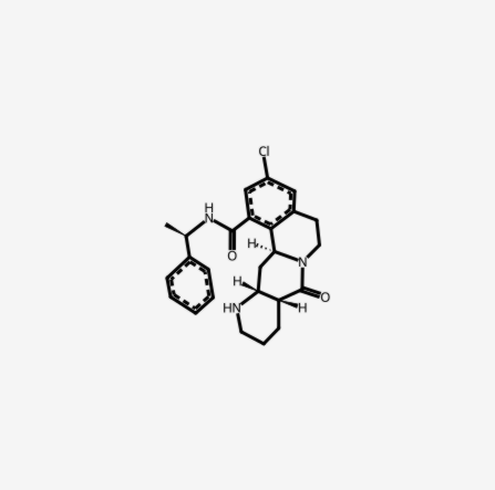 C[C@@H](NC(=O)c1cc(Cl)cc2c1[C@@H]1C[C@H]3NCCC[C@H]3C(=O)N1CC2)c1ccccc1